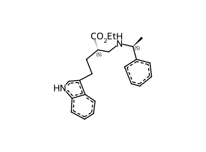 CCOC(=O)[C@@H](CCc1c[nH]c2ccccc12)CN[C@@H](C)c1ccccc1